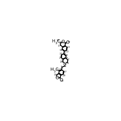 Cc1c(CCN2CCc3cc(-c4ccc5c(c4)C[C@H](C)OC5=O)ccc3C2)ccc2c1COC2=O